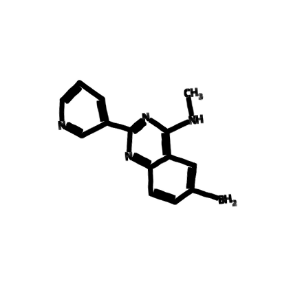 Bc1ccc2nc(-c3cccnc3)nc(NC)c2c1